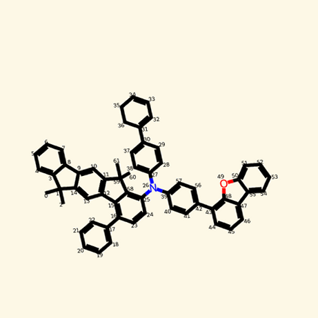 CC1(C)c2ccccc2-c2cc3c(cc21)-c1c(-c2ccccc2)ccc(N(c2ccc(C4=CC=CCC4)cc2)c2ccc(-c4cccc5c4oc4ccccc45)cc2)c1C3(C)C